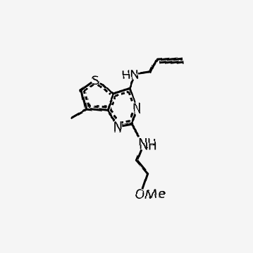 C=CCNc1nc(NCCOC)nc2c(C)csc12